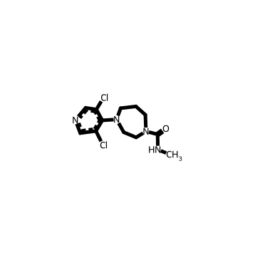 CNC(=O)N1CCCN(c2c(Cl)cncc2Cl)CC1